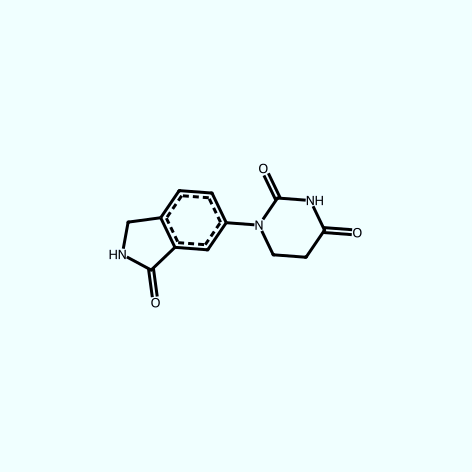 O=C1CCN(c2ccc3c(c2)C(=O)NC3)C(=O)N1